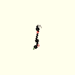 C=Cc1ccc(COCCCCCCc2ccc(C=CC(=O)c3ccc(F)cc3)cc2)cc1